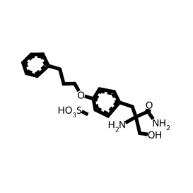 CS(=O)(=O)O.NC(=O)C(N)(CO)Cc1ccc(OCCCc2ccccc2)cc1